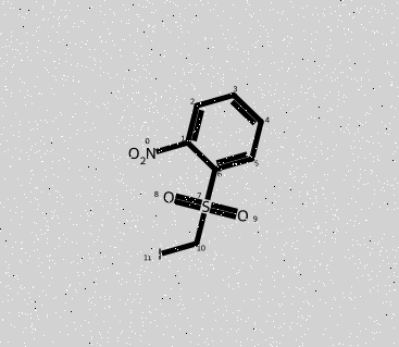 O=[N+]([O-])c1ccccc1S(=O)(=O)CI